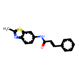 Cc1nc2ccc(NC(=O)/C=C/c3ccccc3)cc2s1